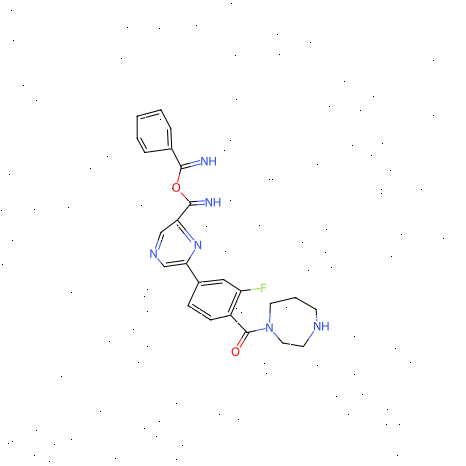 N=C(OC(=N)c1cncc(-c2ccc(C(=O)N3CCCNCC3)c(F)c2)n1)c1ccccc1